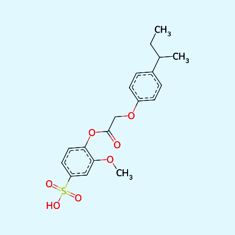 CCC(C)c1ccc(OCC(=O)Oc2ccc(S(=O)(=O)O)cc2OC)cc1